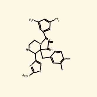 C=CC(=O)C1(Cc2ccc(C)c(C)c2)C(c2csc(NC(C)=O)n2)NCCN1C(=O)c1cc(C(F)(F)F)cc(C(F)(F)F)c1